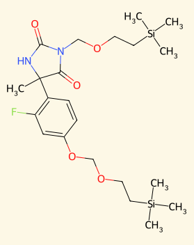 CC1(c2ccc(OCOCC[Si](C)(C)C)cc2F)NC(=O)N(COCC[Si](C)(C)C)C1=O